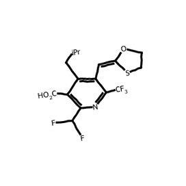 CC(C)Cc1c(C=C2OCCS2)c(C(F)(F)F)nc(C(F)F)c1C(=O)O